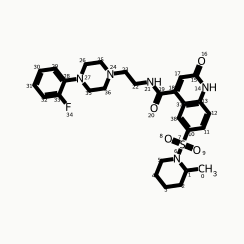 CC1CCCCN1S(=O)(=O)c1ccc2[nH]c(=O)cc(C(=O)NCCN3CCN(c4ccccc4F)CC3)c2c1